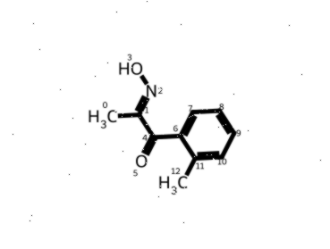 CC(=NO)C(=O)c1ccccc1C